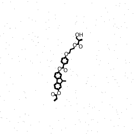 C=CC(=O)Oc1ccc2c(c1)C(C)c1cc(OC(=O)c3ccc(OCCCOC(=O)C(=C)CO)cc3)ccc1-2